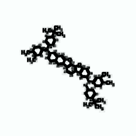 Cc1ccc([C@H](Cc2ccc(C(C)(C)C)cc2)c2ccc3oc4c(ccc5c6cc7ccc(N(c8ccc(C(C)(C)C)cc8)c8ccc(C)c(C)c8)cc7cc6oc54)c3c2)cc1C